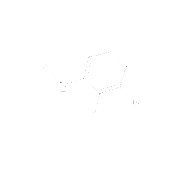 O=C(O)Nc1cccc(Br)c1F